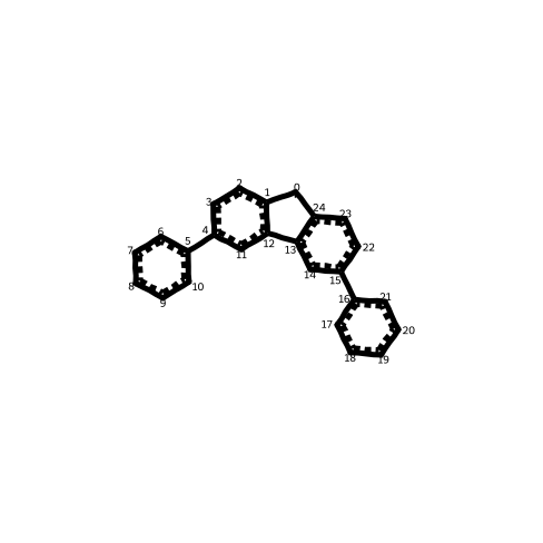 [CH]1c2ccc(-c3ccccc3)cc2-c2cc(-c3ccccc3)ccc21